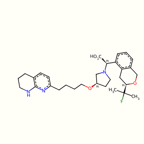 CC(C)(F)[C@H]1Cc2c(cccc2[C@H](C(=O)O)N2CC[C@@H](OCCCCc3ccc4c(n3)NCCC4)C2)CO1